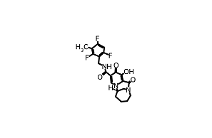 Cc1c(F)cc(F)c(CNC(=O)c2cn3c(c(O)c2=O)C(=O)N2CCCC[C@H]3C2)c1F